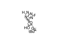 CC(C)(C)[Si](C)(C)OC[C@H]1O[C@@H](n2cnc3c(N)nc(F)nc32)C[C@@H]1O